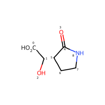 O=C(O)CO.O=C1CCCN1